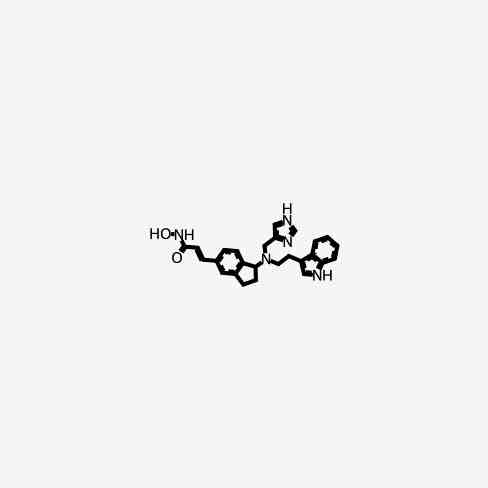 O=C(C=Cc1ccc2c(c1)CCC2N(CCc1c[nH]c2ccccc12)Cc1c[nH]cn1)NO